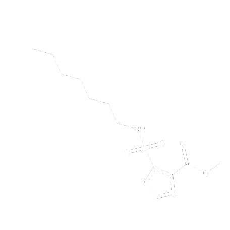 CCCCCCCNS(=O)(=O)c1ccsc1C(=O)OC